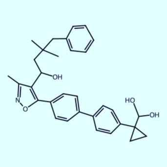 Cc1noc(-c2ccc(-c3ccc(C4(C(O)O)CC4)cc3)cc2)c1C(O)CC(C)(C)Cc1ccccc1